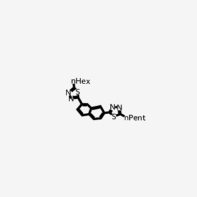 CCCCCCc1nnc(-c2ccc3ccc(-c4nnc(CCCCC)s4)cc3c2)s1